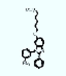 CCOC(=O)CCCCCOc1ccc2nc(-c3ccccc3)n(-c3cccc([N+](=O)[O-])c3)c2c1